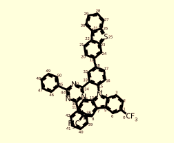 FC(F)(F)c1ccc2c(c1)c1cc(C(F)(F)F)ccc1n2-c1ccc(-c2ccc3c(c2)sc2ccccc23)cc1-c1nc(-c2ccccc2)nc(-c2ccccc2)n1